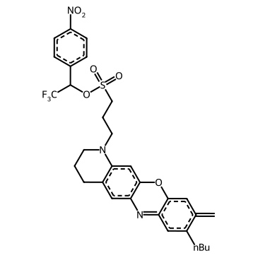 C=c1cc2c(cc1CCCC)=Nc1cc3c(cc1O2)N(CCCS(=O)(=O)OC(c1ccc([N+](=O)[O-])cc1)C(F)(F)F)CCC3